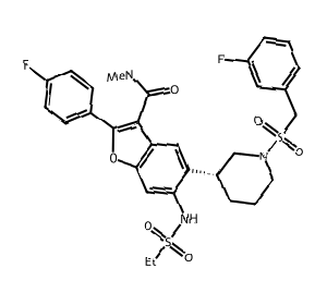 CCS(=O)(=O)Nc1cc2oc(-c3ccc(F)cc3)c(C(=O)NC)c2cc1[C@H]1CCCN(S(=O)(=O)Cc2cccc(F)c2)C1